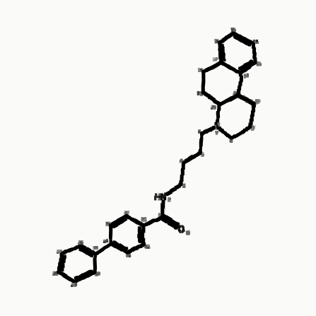 O=C(NCCCCN1CCCC2c3ccccc3CCC21)c1ccc(-c2ccccc2)cc1